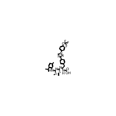 C=CSC(=N\C(Cc1ccc(-c2ncn(-c3ccc(OC(F)(F)F)cc3)n2)cc1)NC(=O)O)/N=C(/Nc1cc(C)ccc1C(C)C)SC